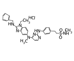 CCn1c(NCc2ccccc2)nc2cc(N(C)c3ccnc(Nc4ccc(CCS(=O)(=O)NC)cc4)n3)ccc21.Cl